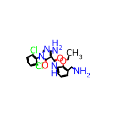 CCOc1c(CN)cccc1NC(=O)c1c(N)ncn(-c2c(Cl)cccc2Cl)c1=O